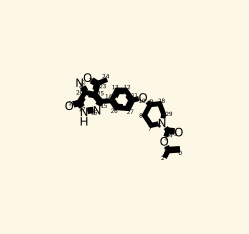 C=C(C)OC(=O)N1CCC(Oc2ccc(-c3n[nH]c(=O)c4noc(C)c34)cc2)CC1